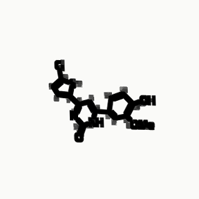 COc1cc(-c2cc(-c3ccc(Cl)s3)nc(=O)[nH]2)ccc1O